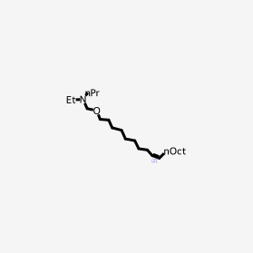 CCCCCCCC/C=C\CCCCCCCCOCN(CC)CCC